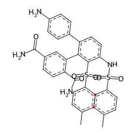 Cc1ccc(S(=O)(=O)Nc2ccc(-c3ccc(N)cc3)c(-c3cc(C(N)=O)ccc3C(N)=O)c2S(=O)(=O)c2ccc(C)cc2)cc1